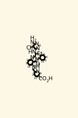 CC[C@H](Nc1ncnc(N)c1Cl)c1nc2cccc(NCc3ccc(C(=O)O)cn3)c2c(=O)n1-c1ccccc1